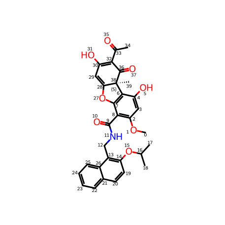 COc1cc(O)c2c(c1C(=O)NCc1c(OC(C)C)ccc3ccccc13)OC1=CC(O)=C(C(C)=O)C(=O)[C@]12C